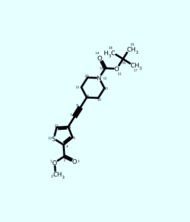 COC(=O)c1cc(C#CC2CCN(C(=O)OC(C)(C)C)CC2)cs1